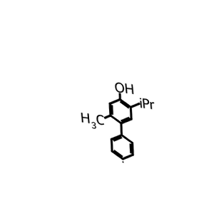 Cc1cc(O)c(C(C)C)cc1-c1cc[c]cc1